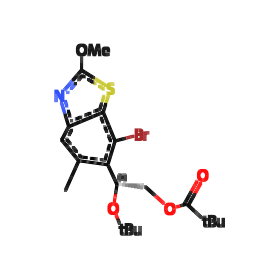 COc1nc2cc(C)c([C@H](COC(=O)C(C)(C)C)OC(C)(C)C)c(Br)c2s1